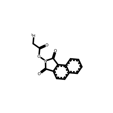 [3H]CC(=O)ON1C(=O)c2ccc3ccccc3c2C1=O